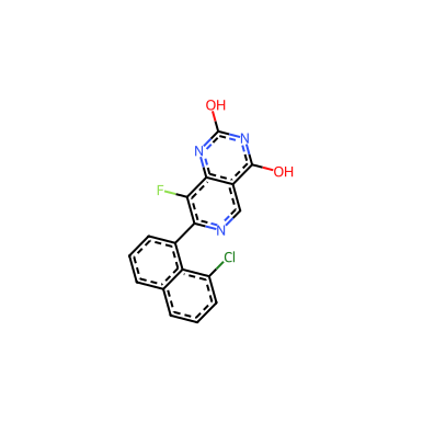 Oc1nc(O)c2cnc(-c3cccc4cccc(Cl)c34)c(F)c2n1